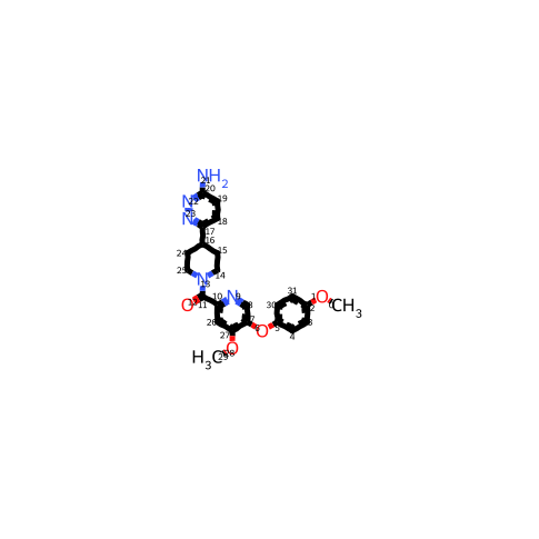 COc1ccc(Oc2cnc(C(=O)N3CCC(c4ccc(N)nn4)CC3)cc2OC)cc1